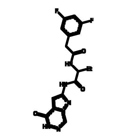 CCC(NC(=O)Cc1cc(F)cc(F)c1)C(=O)Nc1cc2c(=O)[nH]ncn2n1